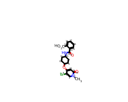 Cn1cc(Br)c(OC2CCC(NC(=O)c3ccccc3C(=O)O)CC2)cc1=O